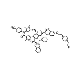 Cc1c(N(C(=O)c2cc(-c3cc4c(cc3C(=O)N3Cc5ccccc5C[C@H]3CN3CCCCC3)CN(C(=O)Cc3ccc(OCCN5CCN(CCF)CC5)cc3F)CC4)n(C)c2C)c2ccc(O)cc2)cc(C#N)n1C